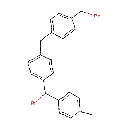 Cc1ccc(C(Br)c2ccc(Cc3ccc(CBr)cc3)cc2)cc1